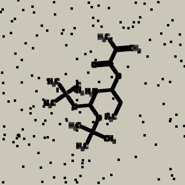 C=C(C)C(=O)OC(CC)[SiH2]C(O[Si](C)(C)C)O[Si](C)(C)C